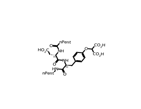 CCCCCNC(=O)[C@H](Cc1ccc(OC(C(=O)O)C(=O)O)cc1)NC(=O)[C@H](CC(=O)O)NC(=O)CCCCC